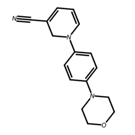 N#CC1=CC=CN(c2ccc(N3CCOCC3)cc2)C1